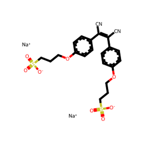 N#CC(=C(C#N)c1ccc(OCCCS(=O)(=O)[O-])cc1)c1ccc(OCCCS(=O)(=O)[O-])cc1.[Na+].[Na+]